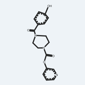 O=C(Oc1cccnc1)N1CCN(C(=O)c2ccc(O)cc2)CC1